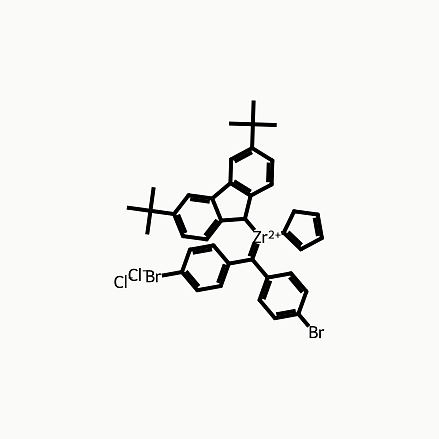 CC(C)(C)c1ccc2c(c1)-c1cc(C(C)(C)C)ccc1[CH]2[Zr+2]([C]1=CC=CC1)=[C](c1ccc(Br)cc1)c1ccc(Br)cc1.[Cl-].[Cl-]